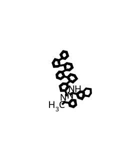 CC(/N=C(\N=C(/N)c1ccc2c(c1)CCCC2)c1cccc(-c2ccccc2-c2ccccc2-c2ccccc2-c2ccccc2-c2ccccc2)c1)c1ccccc1